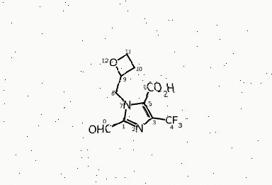 O=Cc1nc(C(F)(F)F)c(C(=O)O)n1CC1CCO1